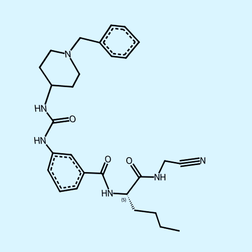 CCCC[C@H](NC(=O)c1cccc(NC(=O)NC2CCN(Cc3ccccc3)CC2)c1)C(=O)NCC#N